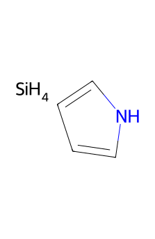 [SiH4].c1cc[nH]c1